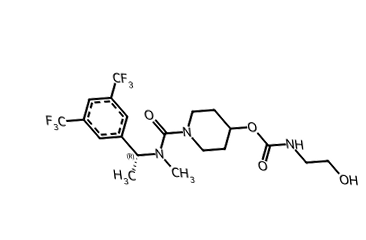 C[C@H](c1cc(C(F)(F)F)cc(C(F)(F)F)c1)N(C)C(=O)N1CCC(OC(=O)NCCO)CC1